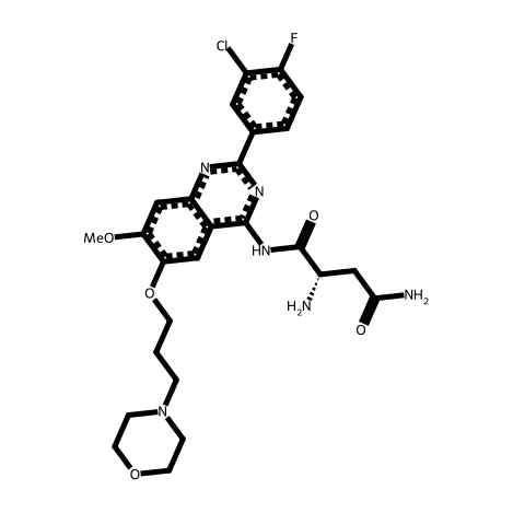 COc1cc2nc(-c3ccc(F)c(Cl)c3)nc(NC(=O)[C@@H](N)CC(N)=O)c2cc1OCCCN1CCOCC1